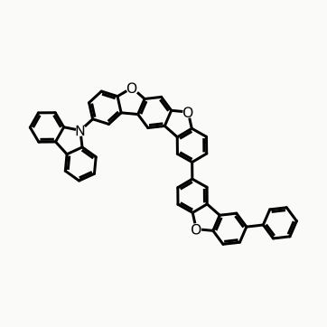 c1ccc(-c2ccc3oc4ccc(-c5ccc6oc7cc8oc9ccc(-n%10c%11ccccc%11c%11ccccc%11%10)cc9c8cc7c6c5)cc4c3c2)cc1